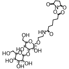 O=C(CCCCC(=O)ON1C(=O)CCC1=O)NCCO[C@@H]1O[C@H](CO)[C@@H](O)[C@H](O[C@@H]2O[C@H](CO)[C@@H](O)[C@H](O)[C@@H]2O)[C@@H]1O